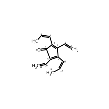 C=CC1=C(/C=C\C)C(=O)C(C=C)=C1/C=C\C